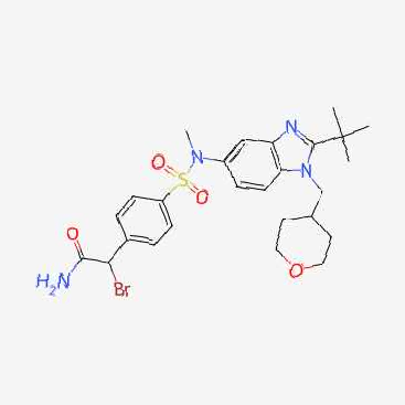 CN(c1ccc2c(c1)nc(C(C)(C)C)n2CC1CCOCC1)S(=O)(=O)c1ccc(C(Br)C(N)=O)cc1